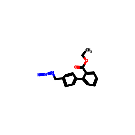 CCOC(=O)c1ccccc1-c1ccc(CN=[N+]=[N-])cc1